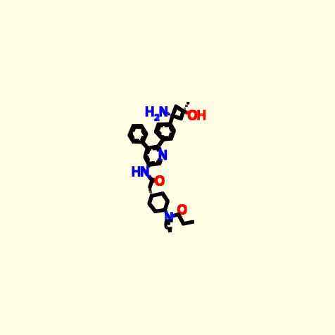 CCC(=O)N(CC)[C@H]1CC[C@H](CC(=O)Nc2cnc(-c3ccc([C@]4(N)C[C@](C)(O)C4)cc3)c(-c3ccccc3)c2)CC1